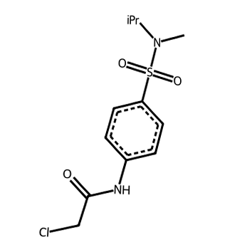 CC(C)N(C)S(=O)(=O)c1ccc(NC(=O)CCl)cc1